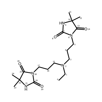 CCN(CCCN1C(=O)NC(C)(C)C1=O)CCCN1C(=O)NC(C)(C)C1=O